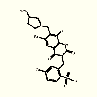 CCS(=O)(=O)c1ccc(Cl)cc1Cn1c(=O)[nH]c2c(Br)c(CN3CCC(NC)C3)c(C(F)(F)F)cc2c1=O